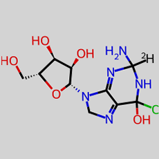 [2H]C1(N)N=C2C(=NCN2[C@@H]2O[C@H](CO)[C@@H](O)[C@H]2O)C(O)(Cl)N1